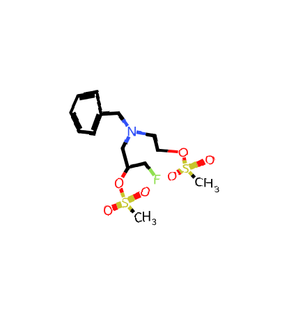 CS(=O)(=O)OCCN(Cc1ccccc1)CC(CF)OS(C)(=O)=O